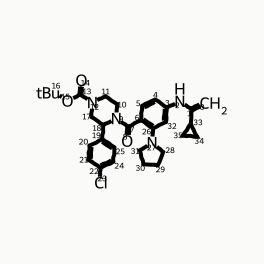 C=C(Nc1ccc(C(=O)N2CCN(C(=O)OC(C)(C)C)CC2c2ccc(Cl)cc2)c(N2CCCC2)c1)C1CC1